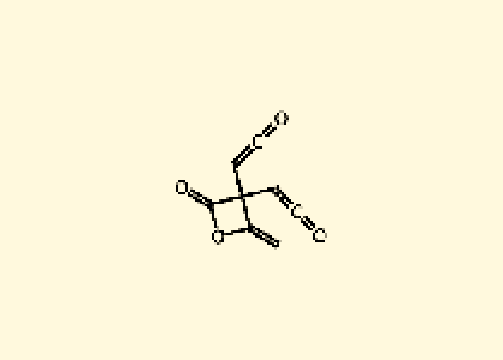 C=C1OC(=O)C1(C=C=O)C=C=O